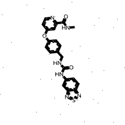 CNC(=O)c1cc(Oc2ccc(CNC(=O)Nc3ccc4nsnc4c3)cc2)ccn1